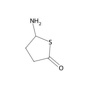 NC1CCC(=O)S1